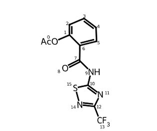 CC(=O)Oc1ccccc1C(=O)Nc1nc(C(F)(F)F)ns1